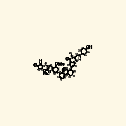 COc1nc(-c2cccc(-c3cccc(-c4cc5c(=O)n(C)c(CN[C@H]6CC[C@H](O)CC6)nn5c4)c3Cl)c2Cl)ccc1CN(C[C@@H]1CCC(=O)N1)C(=O)OC(C)(C)C